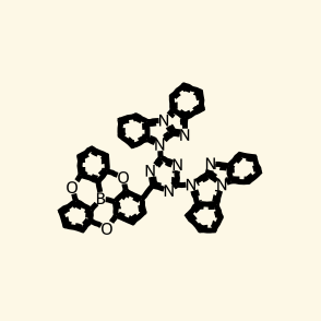 c1cc2c3c(c1)Oc1ccc(-c4nc(-n5c6ccccc6n6c7ccccc7nc56)nc(-n5c6ccccc6n6c7ccccc7nc56)n4)c4c1B3c1c(cccc1O4)O2